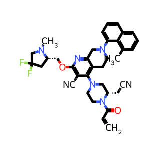 C=CC(=O)N1CCN(c2c(C#N)c(OC[C@@H]3CC(F)(F)CN3C)nc3c2CCN(c2cccc4cccc(C)c24)C3)C[C@@H]1CC#N